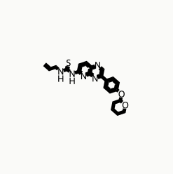 C=CCNC(=S)Nc1ccc2ncc(-c3ccc(OC4CCCCO4)cc3)nc2n1